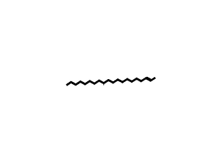 CC=CCCCCCCCC[CH]CCCCCCCC